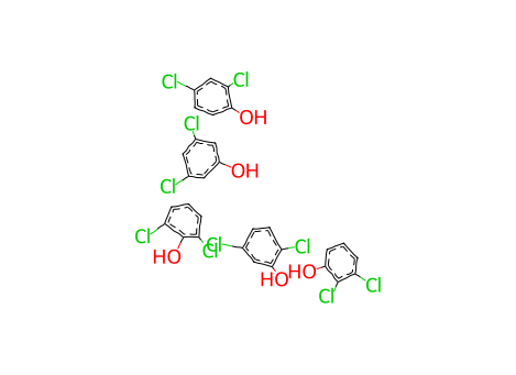 Oc1c(Cl)cccc1Cl.Oc1cc(Cl)cc(Cl)c1.Oc1cc(Cl)ccc1Cl.Oc1ccc(Cl)cc1Cl.Oc1cccc(Cl)c1Cl